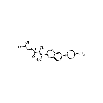 CCC(O)CNC(=O)/C(C#N)=C(\C)c1ccc2cc(N3CCN(C)CC3)ccc2c1